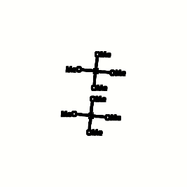 CO[Si](OC)(OC)OC.CO[Si](OC)(OC)OC